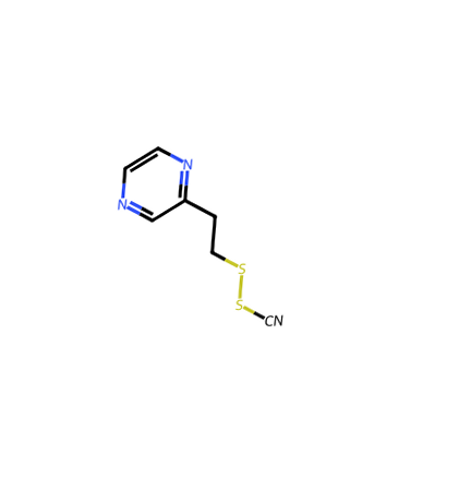 N#CSSCCc1cnccn1